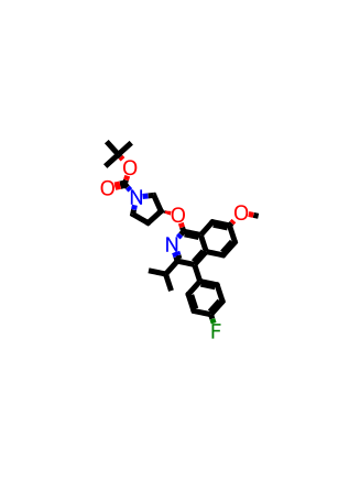 COc1ccc2c(-c3ccc(F)cc3)c(C(C)C)nc(O[C@H]3CCN(C(=O)OC(C)(C)C)C3)c2c1